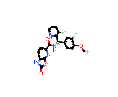 O=C(N[C@@H](c1ccc(OCF)c(F)c1)c1ncccc1F)c1ccc2[nH]c(=O)oc2n1